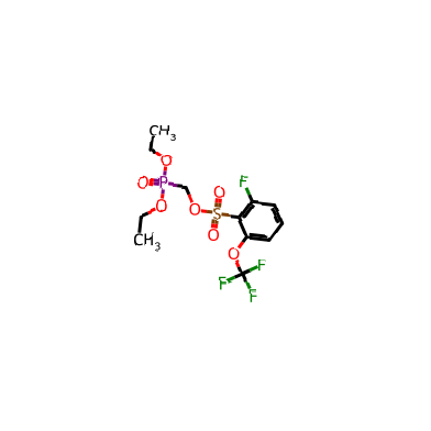 CCOP(=O)(COS(=O)(=O)c1c(F)cccc1OC(F)(F)F)OCC